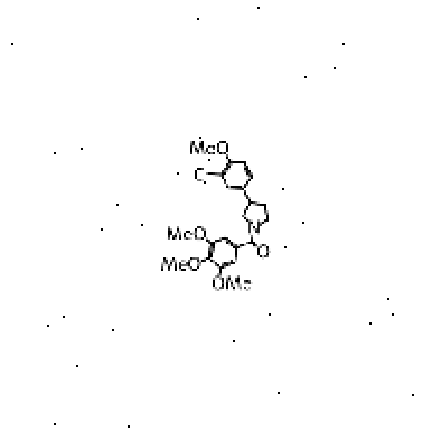 COc1ccc(C2CCN(C(=O)c3cc(OC)c(OC)c(OC)c3)C2)cc1Cl